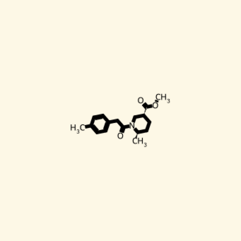 COC(=O)[C@@H]1CC[C@H](C)N(C(=O)Cc2ccc(C)cc2)C1